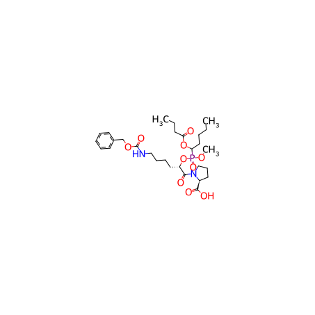 CCCCC(OC(=O)CCC)P(=O)(OC)O[C@@H](CCCCNC(=O)OCc1ccccc1)C(=O)N1CCC[C@H]1C(=O)O